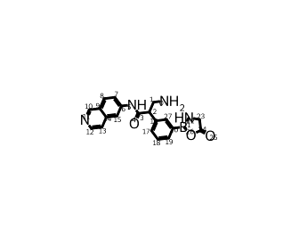 NCC(C(=O)Nc1ccc2cnccc2c1)c1cccc(B2NCC(=O)O2)c1